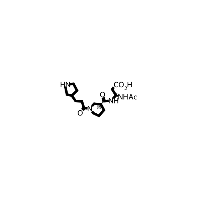 CC(=O)N[C@H](CC(=O)O)NC(=O)[C@@H]1CCCN(C(=O)CCC2CCNCC2)C1